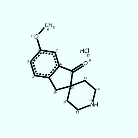 COc1ccc2c(c1)C(=O)C1(CCNCC1)C2.Cl